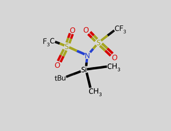 CC(C)(C)[Si](C)(C)N(S(=O)(=O)C(F)(F)F)S(=O)(=O)C(F)(F)F